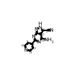 N#Cc1[nH]nc2nc(-c3ccncc3)nc(N)c12